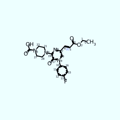 CCOC(=O)/C=C/c1cn(-c2ccc(F)cc2)c(=O)c(N2CCN(C(=O)O)CC2)n1